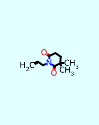 C=CCN1C(=O)CCC(C)(C)C1=O